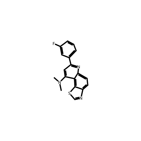 CN(C)c1cc(-c2cccc(F)c2)nc2ccc3ncsc3c12